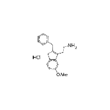 COc1ccc2c(c1)C(CCN)=C(Cc1ccccc1)C2.Cl